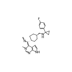 C=N/C(=C1/c2cc[nH]c2N=CN1C)[C@H]1CC[C@H](CNC2(c3ccc(F)cc3)CC2)CC1